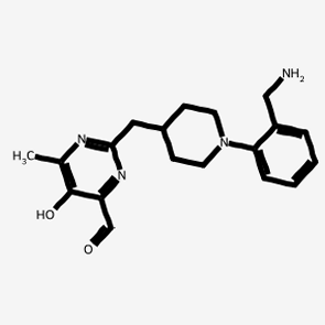 Cc1nc(CC2CCN(c3ccccc3CN)CC2)nc([C]=O)c1O